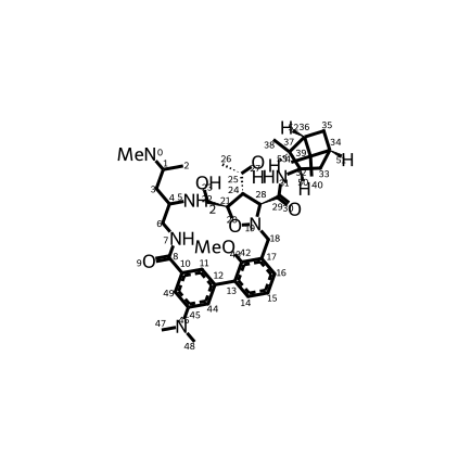 CNC(C)CC(N)CNC(=O)c1cc(-c2cccc(CN3O[C@@H](CO)[C@H]([C@H](C)O)[C@H]3C(=O)N[C@H]3C[C@H]4C[C@@H]([C@@H]3C)C4(C)C)c2OC)cc(N(C)C)c1